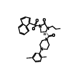 CCCN1C(=O)N(S(=O)(=O)c2cccc3ccccc23)C[C@H]1C(=O)N1CCN(c2cc(C)ccc2C)CC1